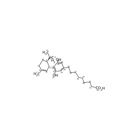 C=C(C)[C@@H]1CCC(C)=C[C@H]1c1c(O)cc(CCCCCCCCC(=O)O)cc1O